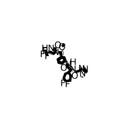 COC[C@H](c1ccc2oc([C@@H](NC(=O)c3nncn3C)C3CCC(F)(F)CC3)nc2c1)N1C[C@@H](C(F)(F)F)NC1=O